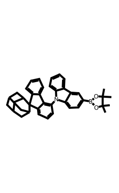 CC1(C)OB(c2ccc3c(c2)c2ccccc2n3-c2cccc3c2-c2ccccc2C32C3CC4CC(C3)CC2C4)OC1(C)C